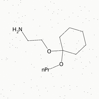 CCCOC1(OCCN)CCCCC1